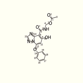 CC(=O)OCNC(=O)c1c(O)cc(Oc2ccccc2)n2ncnc12